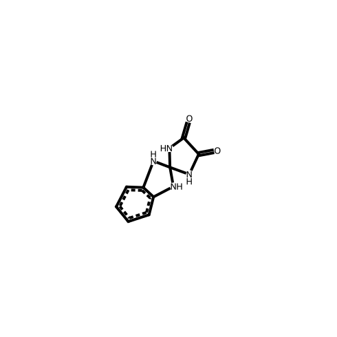 O=C1NC2(NC1=O)Nc1ccccc1N2